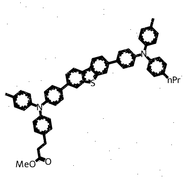 CCCc1ccc(N(c2ccc(C)cc2)c2ccc(-c3ccc4c(c3)sc3cc(-c5ccc(N(c6ccc(C)cc6)c6ccc(CCC(=O)OC)cc6)cc5)ccc34)cc2)cc1